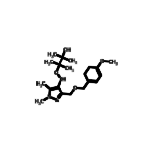 COC1=CC=C(COCc2nn(C)c(C)c2BOC(C)(C)C(C)(C)O)CC1